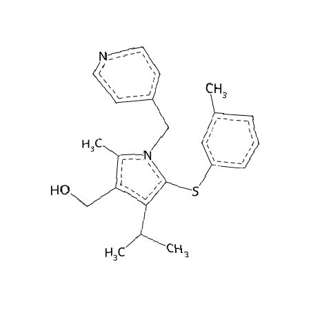 Cc1cccc(Sc2c(C(C)C)c(CO)c(C)n2Cc2ccncc2)c1